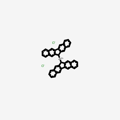 [Cl-].[Cl-].c1ccc2cc3c(cc2c1)-c1cc2ccccc2cc1[CH]3[Zr+2][CH]1c2cc3ccccc3cc2-c2cc3ccccc3cc21